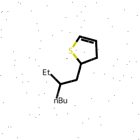 CCCCC(CC)CC1CC=CS1